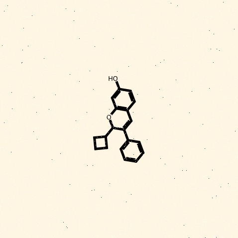 Oc1ccc2c(c1)OC(C1CCC1)C(c1ccccc1)=C2